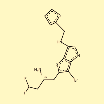 N[C@H](Cc1sc2c(NCc3cccs3)snc2c1Br)CC(F)F